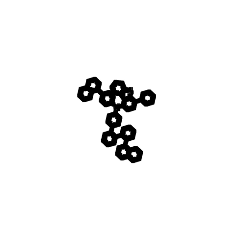 c1ccc(-c2ccc(N(c3ccc(-c4ccccc4-c4ccccc4-c4cccc5ccccc45)cc3)c3ccc(-c4cccc5ccccc45)cc3)c3c2sc2ccccc23)cc1